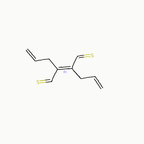 C=CC/C(C=S)=C(\C=S)CC=C